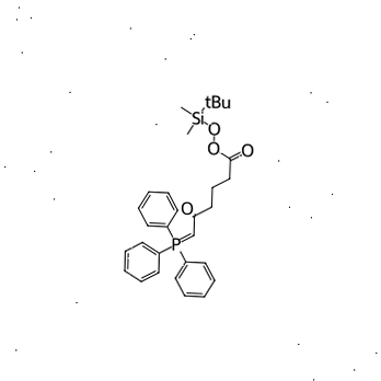 CC(C)(C)[Si](C)(C)OOC(=O)CCCC(=O)C=P(c1ccccc1)(c1ccccc1)c1ccccc1